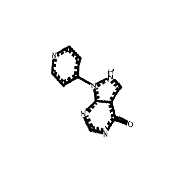 O=c1ncnc2n(-c3ccncc3)[nH]cc1-2